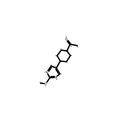 COc1ncc(C2CCC(C(C)=O)CC2)cn1